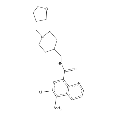 O=C(NCC1CCN(CC2CCOC2)CC1)c1cc(Cl)c([AsH2])c2cccnc12